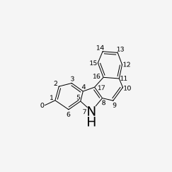 Cc1ccc2c(c1)[nH]c1ccc3ccccc3c12